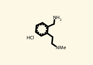 CNCCc1ccccc1CN.Cl